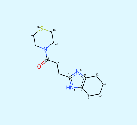 O=C(CCc1nc2c([nH]1)CCCC2)N1CCSCC1